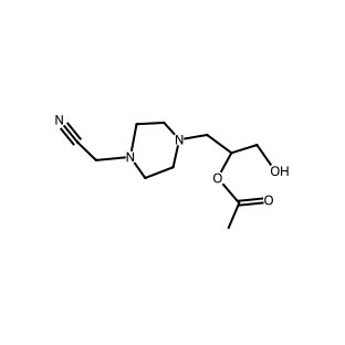 CC(=O)OC(CO)CN1CCN(CC#N)CC1